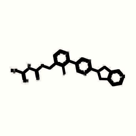 N=C(N)NC(=O)OCc1ccnc(-c2cnc(N3Cc4ccncc4C3)nc2)c1F